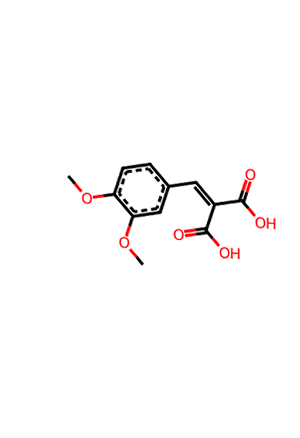 COc1ccc(C=C(C(=O)O)C(=O)O)cc1OC